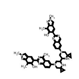 Cc1nc(-c2cc3cn(C)nc3c(C)c2O)nc2ccc(N3CC(C4CN(c5ccc6nc(-c7cc8cn(C)nc8c(C)c7O)ncc6c5)CC5(CC5)N4)NC4(CC4)C3)cc12